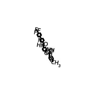 CN1CCN(CCS(=O)(=O)Nc2cc(NC(=O)c3ccc(-c4ccc(C(F)(F)F)cc4)nc3)ccc2O)CC1